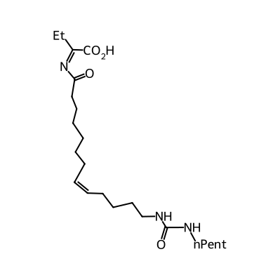 CCCCCNC(=O)NCCCC/C=C\CCCCCCC(=O)/N=C(/CC)C(=O)O